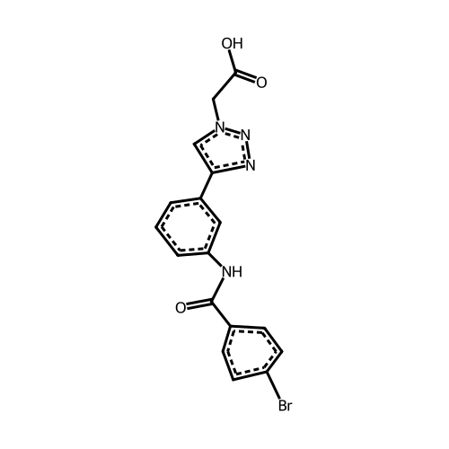 O=C(O)Cn1cc(-c2cccc(NC(=O)c3ccc(Br)cc3)c2)nn1